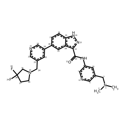 CN(C)Cc1cncc(NC(=O)c2n[nH]c3ccc(-c4cncc(CN5CCC(F)(F)C5)c4)cc23)c1